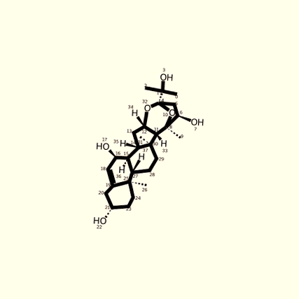 CC(C)(O)[C@]12C[C@@H](O)[C@](C)(O1)[C@H]1[C@H](C[C@H]3[C@@H]4[C@H](O)C=C5C[C@@H](O)CC[C@]5(C)[C@H]4CC[C@@]31C)O2